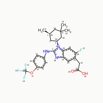 C[C@@H]1C[C@H](n2c(Nc3ccc(OC(F)(F)F)cc3)nc3cc(CC(=O)O)c(F)cc32)CC(C)(C)C1